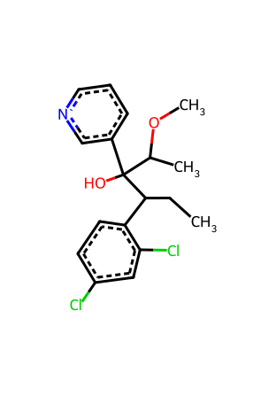 CCC(c1ccc(Cl)cc1Cl)C(O)(c1cccnc1)C(C)OC